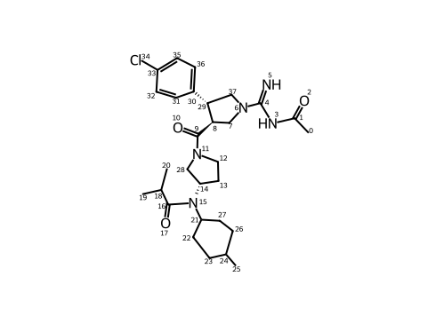 CC(=O)NC(=N)N1C[C@@H](C(=O)N2CC[C@H](N(C(=O)C(C)C)C3CCC(C)CC3)C2)[C@H](c2ccc(Cl)cc2)C1